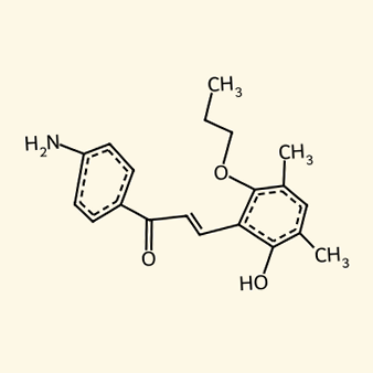 CCCOc1c(C)cc(C)c(O)c1/C=C/C(=O)c1ccc(N)cc1